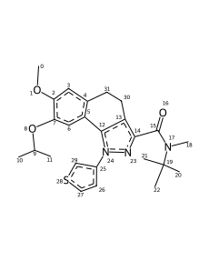 COc1cc2c(cc1OC(C)C)-c1c(c(C(=O)N(C)C(C)(C)C)nn1-c1ccsc1)CC2